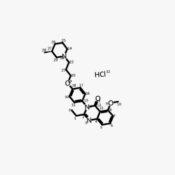 CCc1nc2cccc(OC)c2c(=O)n1-c1ccc(OCCCN2CCC[C@H](C)C2)cc1.Cl